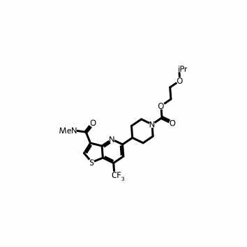 CNC(=O)c1csc2c(C(F)(F)F)cc(C3CCN(C(=O)OCCOC(C)C)CC3)nc12